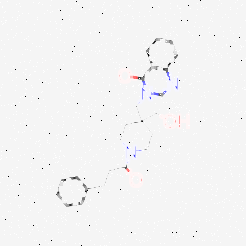 O=C(CCc1ccccc1)N1CCC(CO)(Cn2cnc3ccccc3c2=O)CC1